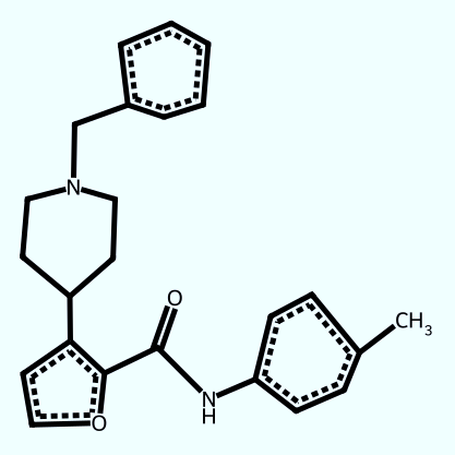 Cc1ccc(NC(=O)c2occc2C2CCN(Cc3ccccc3)CC2)cc1